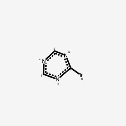 [Ir][c]1ncncn1